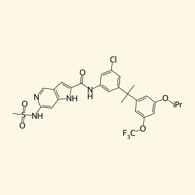 CC(C)Oc1cc(OC(F)(F)F)cc(C(C)(C)c2cc(Cl)cc(NC(=O)c3cc4cnc(NS(C)(=O)=O)cc4[nH]3)c2)c1